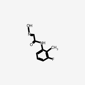 Cc1c(F)cccc1NC(=O)C=NO